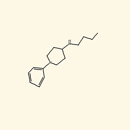 CCCCNC1CCN(c2cc[c]cc2)CC1